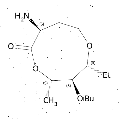 CC[C@H]1OCC[C@H](N)C(=O)O[C@@H](C)[C@@H]1OCC(C)C